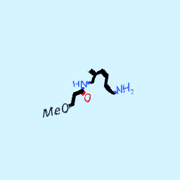 C=C(/C=C\C=C/N)CNC(=O)CCOC